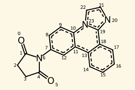 O=C1CCC(=O)N1c1ccc2c(c1)c1ccccc1c1nccn21